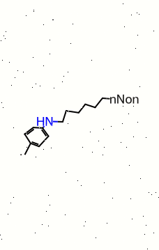 [CH2]c1ccc(NCCCCCCCCCCCCCCC)cc1